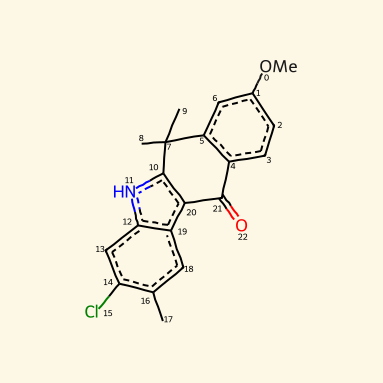 COc1ccc2c(c1)C(C)(C)c1[nH]c3cc(Cl)c(C)cc3c1C2=O